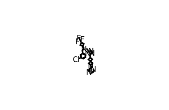 FC(F)(F)C1CC(N2Cc3cc(Cl)ccc3-n3c(nnc3C3CC4(C3)CN(c3cnccn3)C4)C2)C1